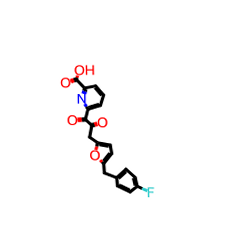 O=C(Cc1ccc(Cc2ccc(F)cc2)o1)C(=O)c1cccc(C(=O)O)n1